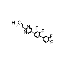 CCCc1ncc(-c2ccc(-c3ccc(F)c(F)c3)c(F)c2F)cn1